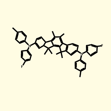 Cc1ccc(N(C2=CC3C(C=C2)c2c(C)c(C)c4c(c2C3(C)C)C(C)(C)c2cc(N(c3ccc(C)cc3)c3ccc(F)cc3)ccc2-4)c2ccc(F)cc2)cc1